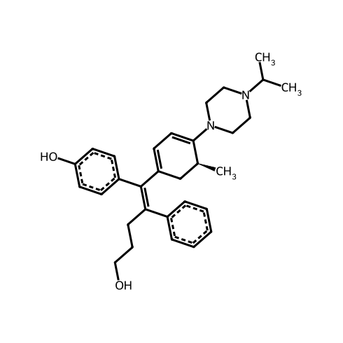 CC(C)N1CCN(C2=CC=C(/C(=C(/CCCO)c3ccccc3)c3ccc(O)cc3)C[C@@H]2C)CC1